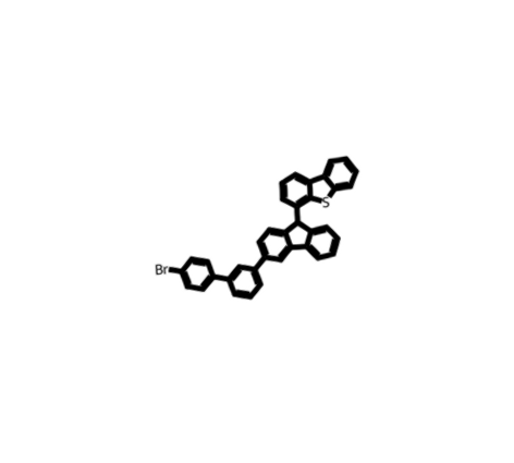 Brc1ccc(-c2cccc(-c3ccc4c(c3)-c3ccccc3C4c3cccc4c3sc3ccccc34)c2)cc1